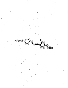 CCCCC[C@H]1CC[C@H](C=CC#Cc2ccc(OCCCC)cc2F)CC1